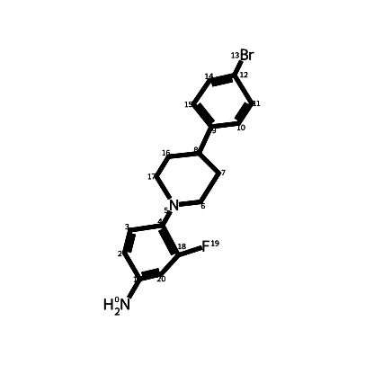 Nc1ccc(N2CCC(c3ccc(Br)cc3)CC2)c(F)c1